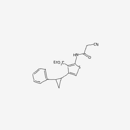 CCOC(=O)c1c(C2CC2c2ccccc2)csc1NC(=O)CC#N